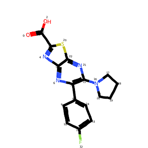 O=C(O)c1nc2nc(-c3ccc(F)cc3)c(N3CCCC3)nc2s1